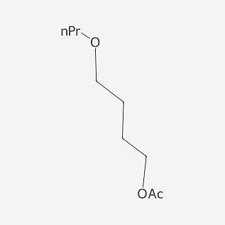 [CH2]CCOCCCCOC(C)=O